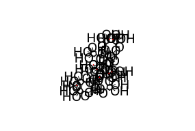 O=C(O[C@@H]1O[C@@H]2COC(=O)c3cc(O)c(O)c(O)c3-c3c(cc(O)c(O)c3O)C(=O)O[C@H]2[C@H](OC(=O)c2cc(O)c(O)c(O)c2)[C@H]1OC(=O)c1cc(O)c(O)c(O)c1Oc1cc2c(c(O)c1O)Oc1cc(cc(O)c1O)C(=O)O[C@@H]1O[C@@H]3COC(=O)c4cc(O)c(O)c(O)c4-c4c(cc(O)c(O)c4O)C(=O)O[C@H]3[C@H](OC(=O)c3cc(O)c(O)c(O)c3)[C@H]1OC2=O)c1cc(O)c(O)c(O)c1